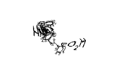 O=C(O)c1ccccc1CCc1ccc(NS(=O)(=O)c2ccccc2F)cc1